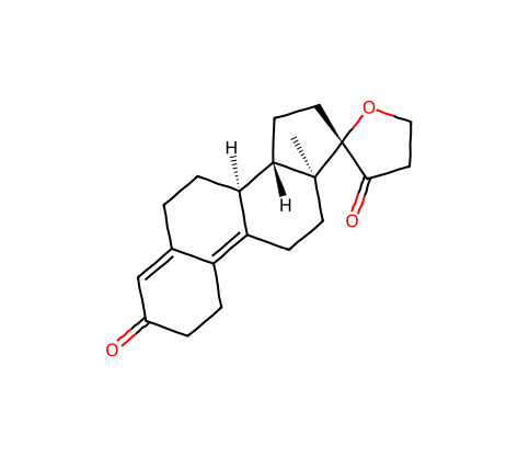 C[C@]12CCC3=C4CCC(=O)C=C4CC[C@H]3[C@@H]1CC[C@]21OCCC1=O